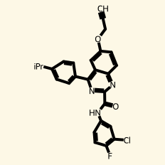 C#CCOc1ccc2nc(C(=O)Nc3ccc(F)c(Cl)c3)nc(-c3ccc(C(C)C)cc3)c2c1